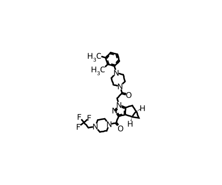 Cc1cccc(N2CCN(C(=O)Cn3nc(C(=O)N4CCN(CC(F)(F)F)CC4)c4c3C[C@H]3C[C@@H]43)CC2)c1C